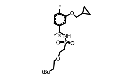 C[C@@H](NS(=O)(=O)CCOCCC(C)(C)C)c1ccc(F)c(OCC2CC2)c1